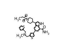 CCS(=O)(=O)N1CCC(c2c[nH]c3c(C(N)=O)cc(-c4csc(CN(C)Cc5cccs5)c4)cc23)CC1